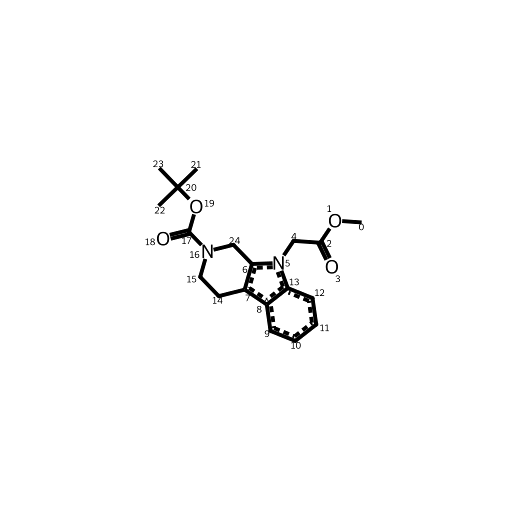 COC(=O)Cn1c2c(c3ccccc31)CCN(C(=O)OC(C)(C)C)C2